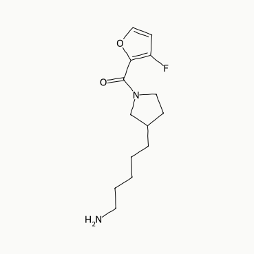 NCCCCCC1CCN(C(=O)c2occc2F)C1